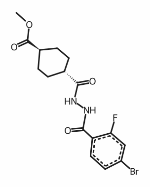 COC(=O)[C@H]1CC[C@H](C(=O)NNC(=O)c2ccc(Br)cc2F)CC1